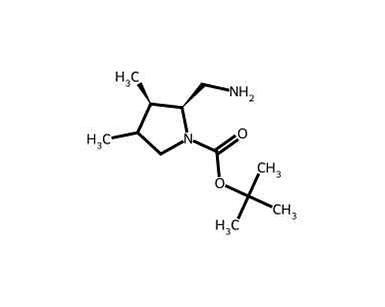 CC1CN(C(=O)OC(C)(C)C)[C@H](CN)[C@@H]1C